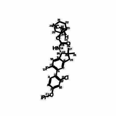 CC(C)Oc1ccc(-c2cc3c(cc2F)[C@H](NC(=O)O[C@@H]2CN4CCC2CC4)C(C)(C)C3)c(Cl)c1